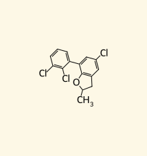 CC1Cc2cc(Cl)cc(-c3cccc(Cl)c3Cl)c2O1